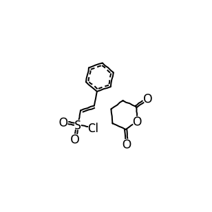 O=C1CCCC(=O)O1.O=S(=O)(Cl)C=Cc1ccccc1